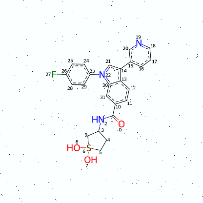 O=C(NC1CCS(O)(O)C1)c1ccc2c(-c3cccnc3)cn(-c3ccc(F)cc3)c2c1